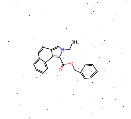 BCn1cc2ccc3ccccc3c2c1C(=O)OCc1ccccc1